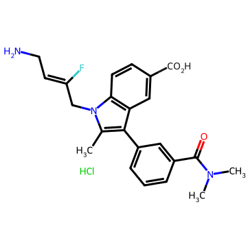 Cc1c(-c2cccc(C(=O)N(C)C)c2)c2cc(C(=O)O)ccc2n1C/C(F)=C/CN.Cl